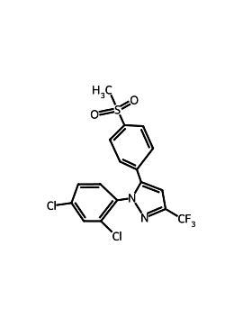 CS(=O)(=O)c1ccc(-c2cc(C(F)(F)F)nn2-c2ccc(Cl)cc2Cl)cc1